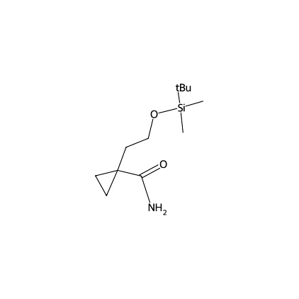 CC(C)(C)[Si](C)(C)OCCC1(C(N)=O)CC1